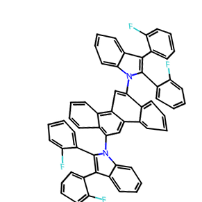 Fc1ccccc1-c1c(-c2ccccc2F)n(-c2cc3c4ccccc4c(-n4c(-c5ccccc5F)c(-c5ccccc5F)c5ccccc54)cc3c3ccccc23)c2ccccc12